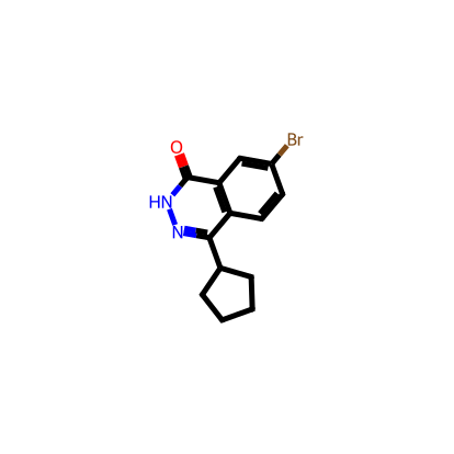 O=c1[nH]nc(C2CCCC2)c2ccc(Br)cc12